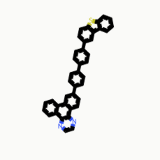 c1ccc2c(c1)sc1ccc(-c3ccc(-c4ccc(-c5ccc6c(c5)c5ccccc5c5nccnc65)cc4)cc3)cc12